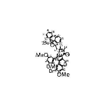 COc1cc(OC)cc(-n2nc(C(=O)N(C)C(C)(C)CCO[Si](c3ccccc3)(c3ccccc3)C(C)(C)C)c3c2-c2cc(Br)c(OC)cc2OC3)c1